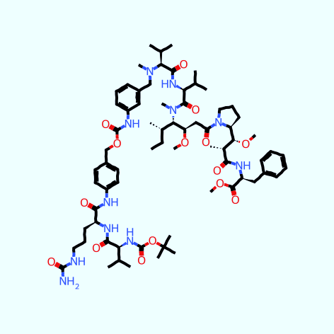 CC[C@H](C)[C@@H]([C@@H](CC(=O)N1CCC[C@H]1[C@H](OC)[C@@H](C)C(=O)N[C@@H](Cc1ccccc1)C(=O)OC)OC)N(C)C(=O)[C@@H](NC(=O)[C@H](C(C)C)N(C)Cc1cccc(NC(=O)OCc2ccc(NC(=O)[C@H](CCCNC(N)=O)NC(=O)[C@@H](NC(=O)OC(C)(C)C)C(C)C)cc2)c1)C(C)C